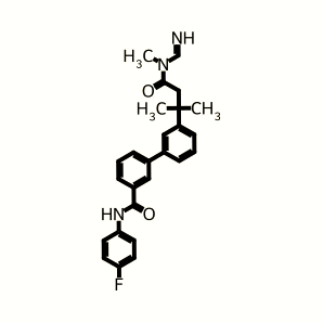 CN(C=N)C(=O)CC(C)(C)c1cccc(-c2cccc(C(=O)Nc3ccc(F)cc3)c2)c1